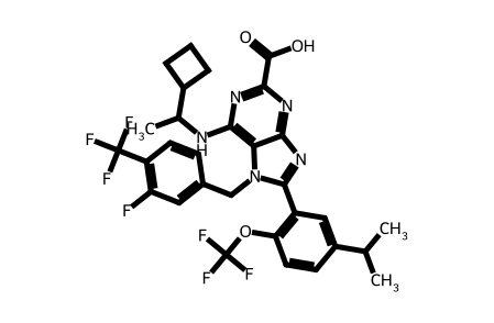 CC(C)c1ccc(OC(F)(F)F)c(-c2nc3nc(C(=O)O)nc(NC(C)C4CCC4)c3n2Cc2ccc(C(F)(F)F)c(F)c2)c1